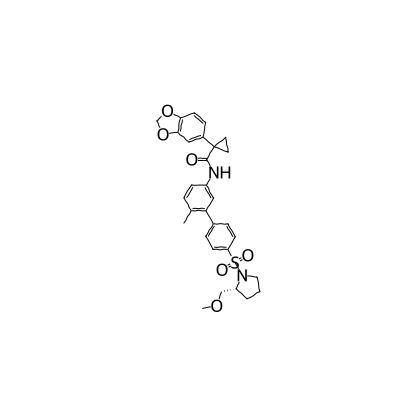 COC[C@H]1CCCN1S(=O)(=O)c1ccc(-c2cc(NC(=O)C3(c4ccc5c(c4)OCO5)CC3)ccc2C)cc1